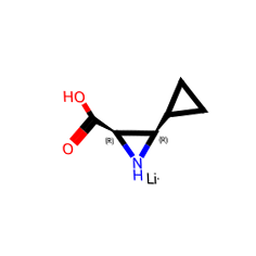 O=C(O)[C@@H]1N[C@@H]1C1CC1.[Li]